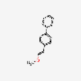 COC=Cc1ccc(-c2ccccc2)cc1